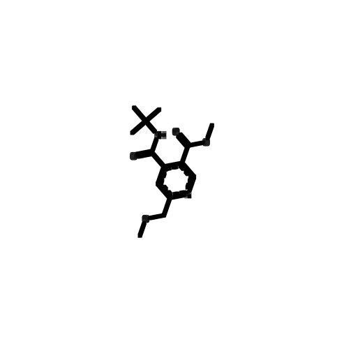 COCc1cc(C(=O)NC(C)(C)C)c(C(=O)OC)cn1